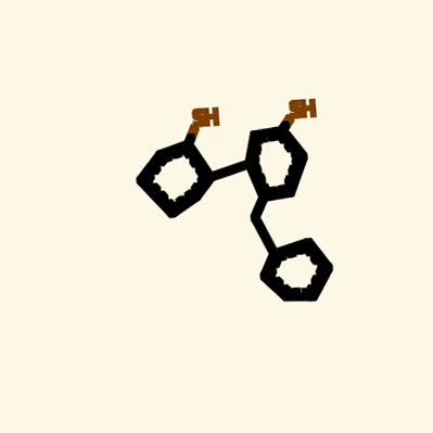 Sc1ccc(Cc2ccccc2)c(-c2ccccc2S)c1